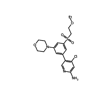 CCOCCS(=O)(=O)c1cc(-c2cnc(N)cc2Cl)cc(N2CCOCC2)c1